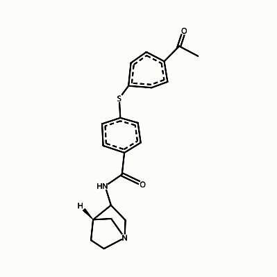 CC(=O)c1ccc(Sc2ccc(C(=O)NC3CN4CC[C@H]3C4)cc2)cc1